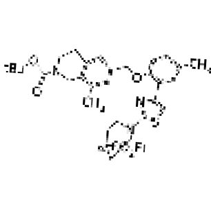 CCOC(=O)[C@@]12CCN(c3nc(-c4cc(C)ccc4OCc4cc(C)c5c(c4)CCN(C(=O)OC(C)(C)C)C5)cs3)CC1C2